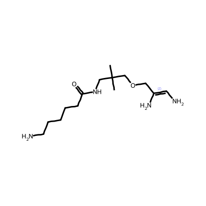 CC(C)(CNC(=O)CCCCCN)COC/C(N)=C/N